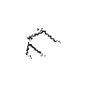 CCCCCCCCCC(C)CCCCCCC(F)(F)C(=O)OCC(CCCCCC)CCCCCCCC